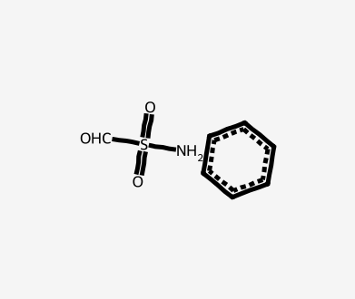 NS(=O)(=O)C=O.c1ccccc1